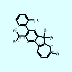 Cc1ccccc1-c1cc2c(cc1C(C(C)C)C(C)C)C1=C(CC(Cl)=CC=C1)C2(C(C)C)C(C)C